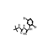 CC(C)(C)NC(=O)NC(=N)Nc1cc(Br)ccc1Br